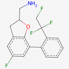 NCC1Cc2cc(F)cc(-c3ccccc3C(F)(F)CF)c2O1